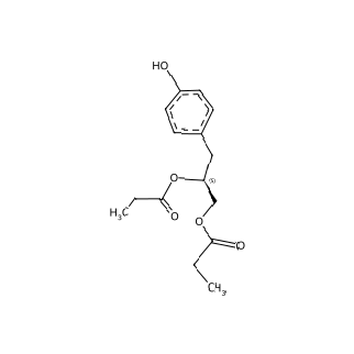 CCC(=O)OC[C@H](Cc1ccc(O)cc1)OC(=O)CC